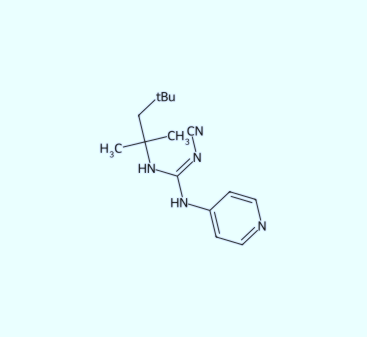 CC(C)(C)CC(C)(C)NC(=NC#N)Nc1ccncc1